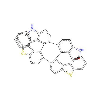 c1ccc2c(c1)[nH]c1ccc3c(c12)-c1c(ccc2sc4ccccc4c12)-c1ccc2sc4ccccc4c2c1-c1c-3ccc2[nH]c3ccccc3c12